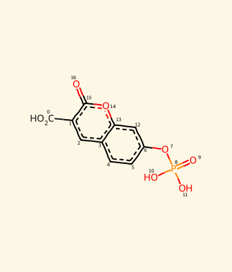 O=C(O)c1cc2ccc(OP(=O)(O)O)cc2oc1=O